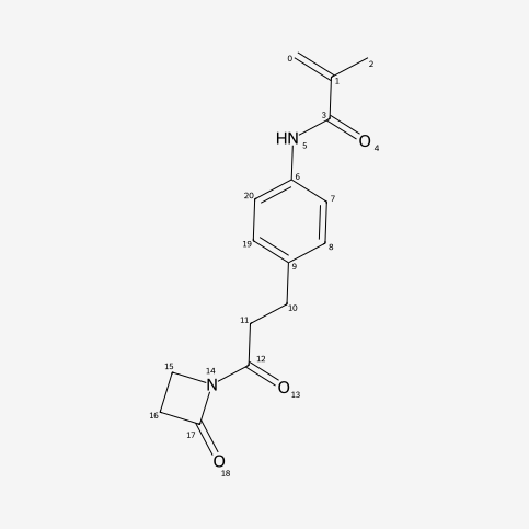 C=C(C)C(=O)Nc1ccc(CCC(=O)N2CCC2=O)cc1